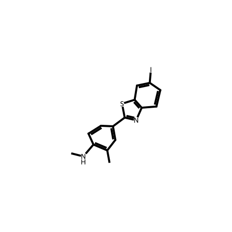 CNc1ccc(-c2nc3ccc(I)cc3s2)cc1C